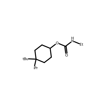 CCNC(=O)OC1CCC(C(C)C)(C(C)(C)C)CC1